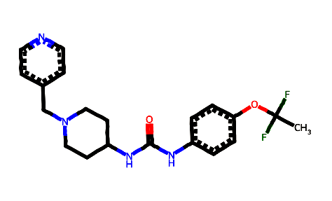 CC(F)(F)Oc1ccc(NC(=O)NC2CCN(Cc3ccncc3)CC2)cc1